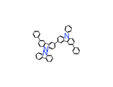 c1ccc(-c2ccc3c(c2)c2cc(-c4ccc5c(c4)c4cc(-c6ccccc6)ccc4n5-n4c5ccccc5c5ccccc54)ccc2n3-c2ccccc2)cc1